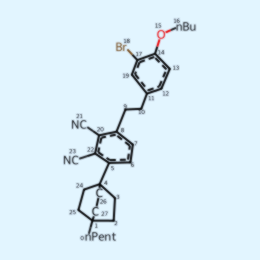 CCCCCC12CCC(c3ccc(CCc4ccc(OCCCC)c(Br)c4)c(C#N)c3C#N)(CC1)CC2